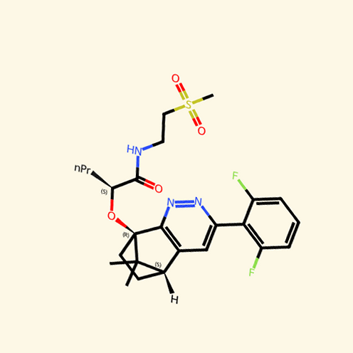 CCC[C@H](O[C@@]12CC[C@@H](c3cc(-c4c(F)cccc4F)nnc31)C2(C)C)C(=O)NCCS(C)(=O)=O